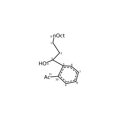 CCCCCCCCCCC(O)c1ccccc1C(C)=O